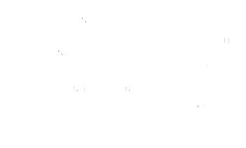 CCCC1OC(C)(C)Cc2c1cnc1c2sc2ncnc(NC3CCCCC3)c21